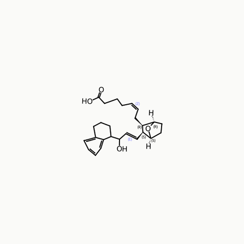 O=C(O)CCC/C=C\C[C@@H]1[C@H](/C=C/C(O)C2CCCc3ccccc32)[C@@H]2CC[C@H]1O2